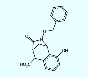 O=C(O)C1c2cccc(O)c2C2CN1C(=O)N2OCc1ccccc1